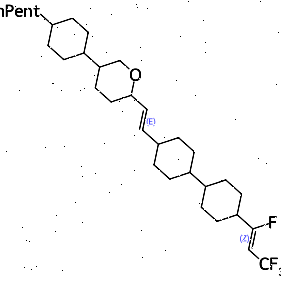 CCCCCC1CCC(C2CCC(/C=C/C3CCC(C4CCC(/C(F)=C/C(F)(F)F)CC4)CC3)OC2)CC1